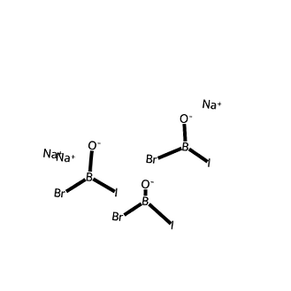 [Na+].[Na+].[Na+].[O-]B(Br)I.[O-]B(Br)I.[O-]B(Br)I